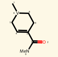 CNC(=O)C1=C[CH2][V]([CH3])[CH2]C1